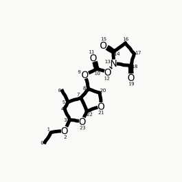 CCOC1CC(C)C2C(OC(=O)ON3C(=O)CCC3=O)COC2O1